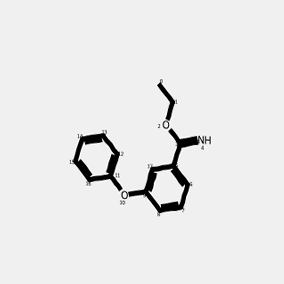 CCOC(=N)c1cccc(Oc2ccccc2)c1